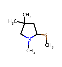 CSC1CC(C)(C)CN1C